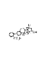 C[C@]12CC[C@@H]3c4ccc(-c5ccccc5C(=O)O)cc4CC[C@H]3[C@@]13C[C@H]3C[C@@H]2O